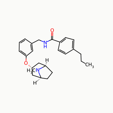 CCCc1ccc(C(=O)NCc2cccc(O[C@@H]3C[C@H]4CC[C@@H](C3)N4C)c2)cc1